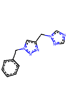 c1ccc(Cn2cc(Cn3cncn3)nn2)cc1